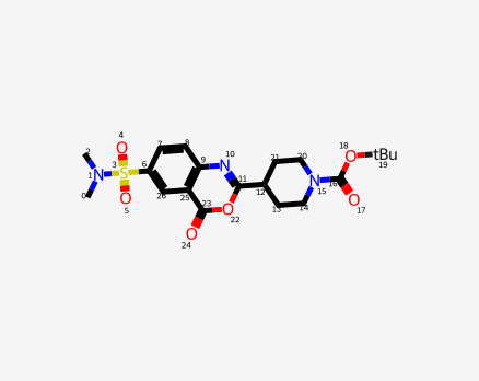 CN(C)S(=O)(=O)c1ccc2nc(C3CCN(C(=O)OC(C)(C)C)CC3)oc(=O)c2c1